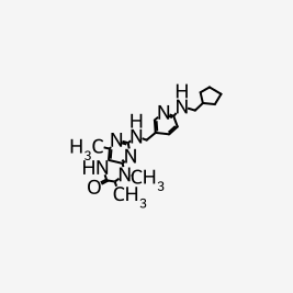 Cc1nc(NCc2ccc(NCC3CCCC3)nc2)nc2c1NC(=O)C(C)N2C